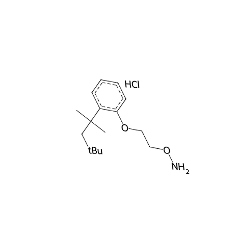 CC(C)(C)CC(C)(C)c1ccccc1OCCON.Cl